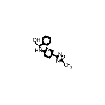 OC[C@H](Nc1ccc(-c2noc(C(F)(F)F)n2)cn1)c1ccccc1